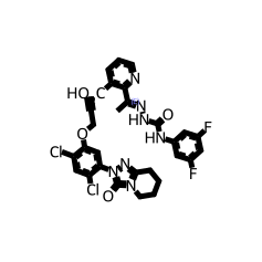 C#CCOc1cc(-n2nc3n(c2=O)CCCC3)c(Cl)cc1Cl.C/C(=N\NC(=O)Nc1cc(F)cc(F)c1)c1ncccc1C(=O)O